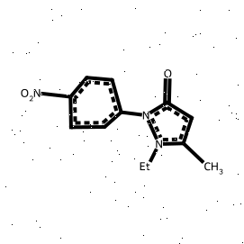 CCn1c(C)cc(=O)n1-c1ccc([N+](=O)[O-])cc1